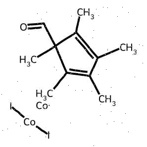 CC1=C(C)C(C)(C=O)C(C)=C1C.[Co].[I][Co][I]